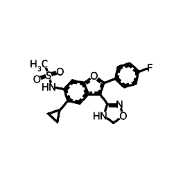 CS(=O)(=O)Nc1cc2oc(-c3ccc(F)cc3)c(C3=NOCN3)c2cc1C1CC1